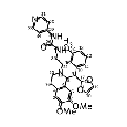 COc1cc2c(cc1OC)C(C(c1cccc(C)c1)C1OC=CO1)N(CCNC(=O)Nc1ccncc1)CC2